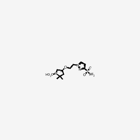 CC1(C)C[C@H](OCCn2ccc(S(N)(=O)=O)n2)CN1C(=O)O